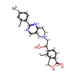 Cc1cc(C#N)ccc1-c1ncc2c(n1)CCN(CC(O)c1ccc3c(c1C)COC3=O)C2